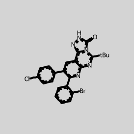 CC(C)(C)c1nc2nc(-c3ccccc3Br)c(-c3ccc(Cl)cc3)cc2c2n[nH]c(=O)n12